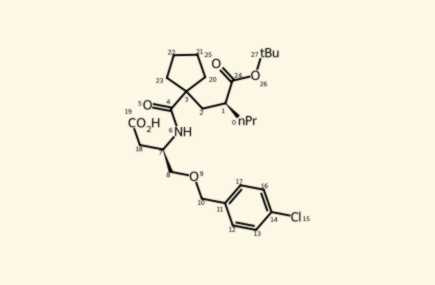 CCC[C@@H](CC1(C(=O)N[C@@H](COCc2ccc(Cl)cc2)CC(=O)O)CCCC1)C(=O)OC(C)(C)C